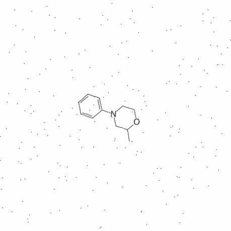 [CH2]C1CN(c2ccccc2)CCO1